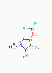 CC(C)C1C(F)C(OC(F)F)CN1C